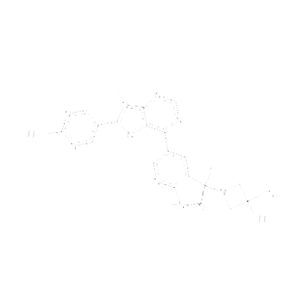 CCn1c(-c2cnc(C)nc2)nc2c(-c3cnc4c(c3)C(C)(N3CC(C)(C#N)C3)C(=O)N4)ncnc21